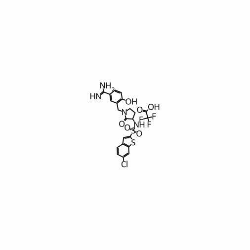 N=C(N)c1ccc(O)c(CN2CCC(NS(=O)(=O)c3cc4ccc(Cl)cc4s3)C2=O)c1.O=C(O)C(F)(F)F